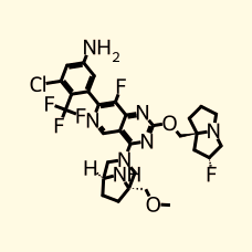 COC[C@@]12CC[C@@H](CN(c3nc(OC[C@@]45CCCN4C[C@H](F)C5)nc4c(F)c(-c5cc(N)cc(Cl)c5C(F)(F)F)ncc34)C1)N2